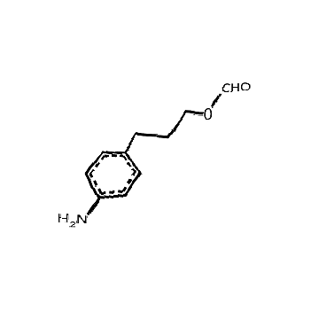 Nc1ccc(CCCOC=O)cc1